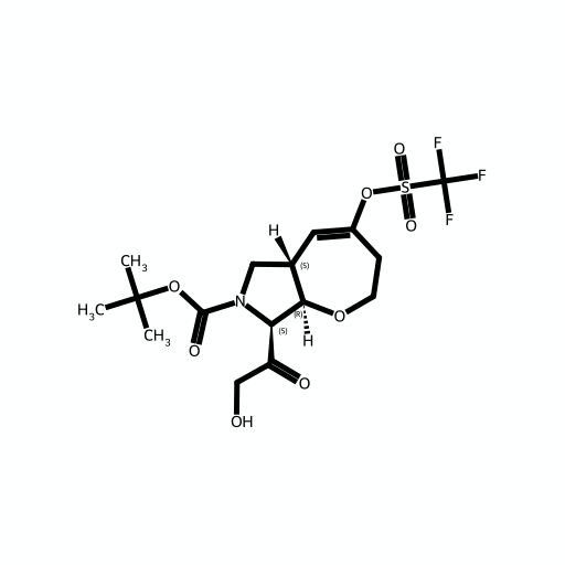 CC(C)(C)OC(=O)N1C[C@@H]2C=C(OS(=O)(=O)C(F)(F)F)CCO[C@H]2[C@H]1C(=O)CO